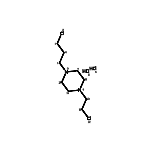 Cl.Cl.ClCCCN1CCN(CCCl)CC1